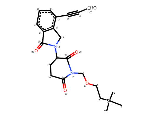 C[Si](C)(C)CCOCN1C(=O)CCC(N2Cc3c(C#CC=O)cccc3C2=O)C1=O